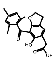 Cc1cc(C)c(C(=O)c2c(O)c(CC(=O)O)cc3c2OCC3)c(C)c1